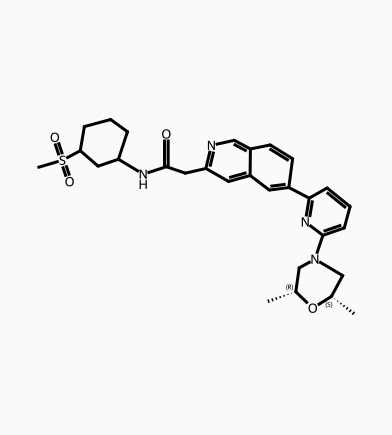 C[C@@H]1CN(c2cccc(-c3ccc4cnc(CC(=O)NC5CCCC(S(C)(=O)=O)C5)cc4c3)n2)C[C@H](C)O1